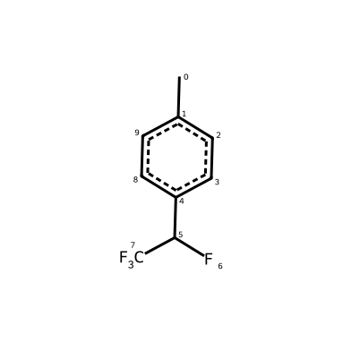 Cc1ccc(C(F)C(F)(F)F)cc1